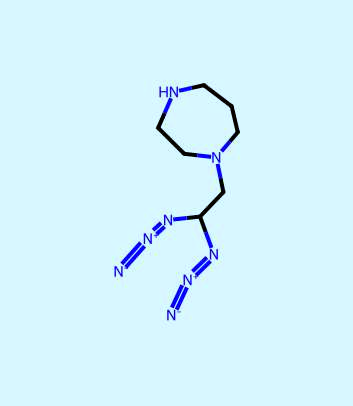 [N-]=[N+]=NC(CN1CCCNCC1)N=[N+]=[N-]